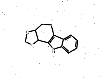 [C]1Cc2c([nH]c3ccccc23)C2OCOC12